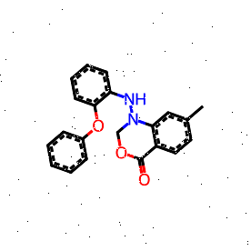 Cc1ccc2c(c1)N(Nc1ccccc1Oc1ccccc1)COC2=O